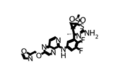 C[C@@]1(c2cc(Nc3nccc4nc(OCc5ncco5)cnc34)cc(F)c2F)N=C(N)S[C@@]2(S(C)(=O)=O)C[C@@H]12